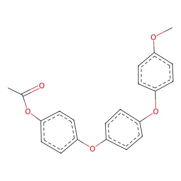 COc1ccc(Oc2ccc(Oc3ccc(OC(C)=O)cc3)cc2)cc1